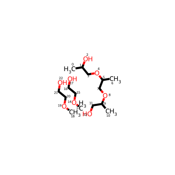 CC(O)COC(C)COC(C)CO.COCCO.COCCO